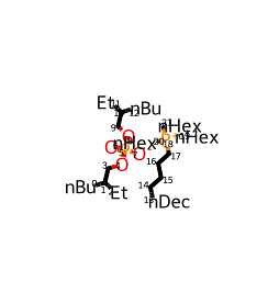 CCCCC(CC)COP(=O)([O-])OCC(CC)CCCC.CCCCCCCCCCCCCC[P+](CCCCCC)(CCCCCC)CCCCCC